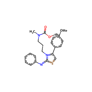 COc1ccc(-c2csc(=Nc3ccccc3)n2CCCN(C)C(=O)OC(C)(C)C)cc1